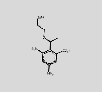 COCCOC(C)c1c(C(=O)O)cc([N+](=O)[O-])cc1[N+](=O)[O-]